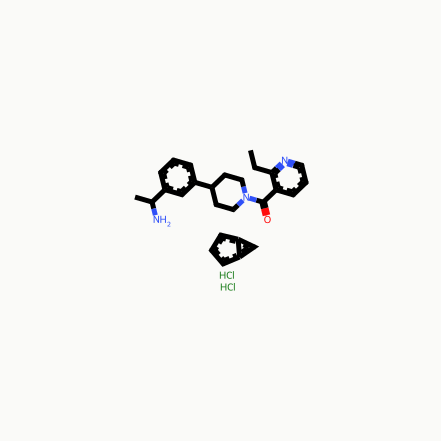 CCc1ncccc1C(=O)N1CCC(c2cccc(C(C)N)c2)CC1.Cl.Cl.c1cc2cc-2c1